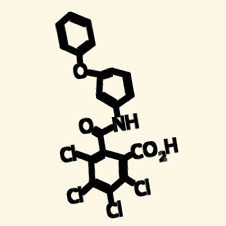 O=C(O)c1c(Cl)c(Cl)c(Cl)c(Cl)c1C(=O)Nc1cccc(Oc2ccccc2)c1